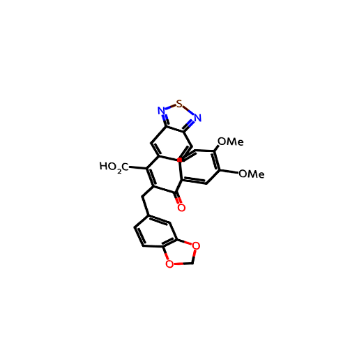 COc1ccc(C(=O)/C(Cc2ccc3c(c2)OCO3)=C(/C(=O)O)c2ccc3nsnc3c2)cc1OC